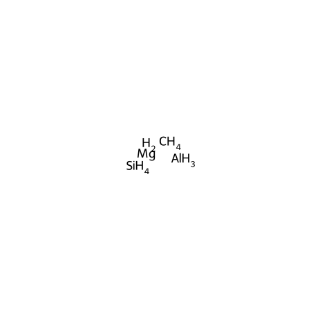 C.[AlH3].[MgH2].[SiH4]